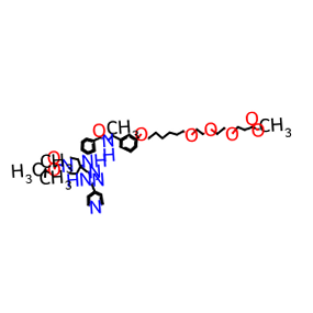 COC(=O)CCOCCOCCOCCCCCCOc1cccc([C@@H](C)NC(=O)c2cccc(NC3(c4nnc(-c5ccncc5)[nH]4)CCN(C(=O)OC(C)(C)C)CC3)c2)c1